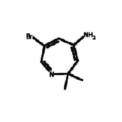 CC1(C)C=C(N)C=C(Br)C=N1